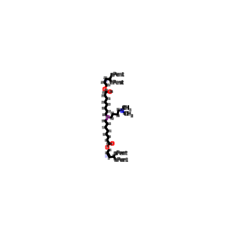 CCCCCC(/C=C\COC(=O)CCCCCCCP(CCCCCCCC(=O)OC/C=C\C(CCCCC)CCCCC)CCCCN(C)C)CCCCC